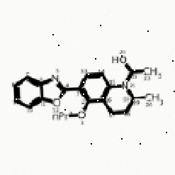 CCCOc1c(-c2nc3ccccc3o2)ccc2c1CC[C@H](C)N2C(C)O